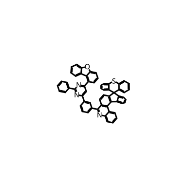 c1ccc(-c2nc(-c3cccc(-c4nc5ccccc5c5c6c(ccc45)C4(c5ccccc5Sc5ccccc54)c4ccccc4-6)c3)cc(-c3cccc4oc5ccccc5c34)n2)cc1